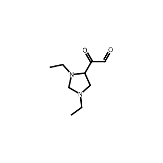 CCN1CC(C(=O)C=O)N(CC)C1